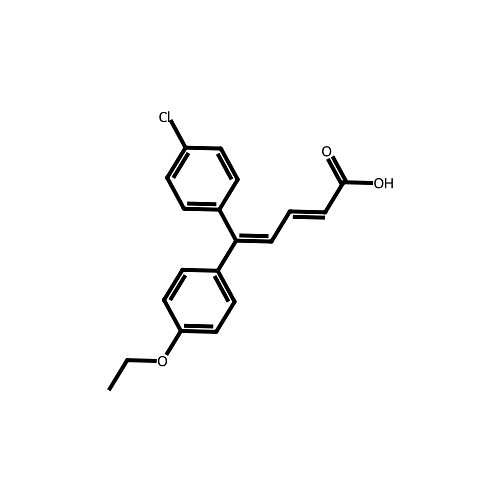 CCOc1ccc(C(=CC=CC(=O)O)c2ccc(Cl)cc2)cc1